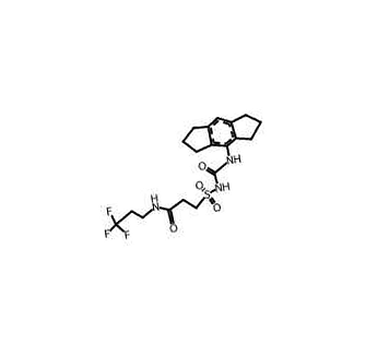 O=C(CCS(=O)(=O)NC(=O)Nc1c2c(cc3c1CCC3)CCC2)NCCC(F)(F)F